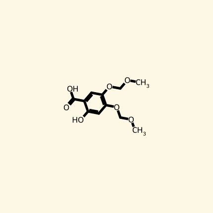 COCOc1cc(O)c(C(=O)O)cc1OCOC